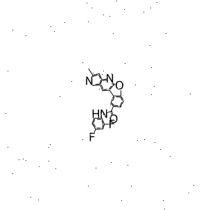 Cc1cc2c(cn1)cc(-c1cc(C(=O)Nc3ccc(F)cc3F)ccc1C)c(=O)n2C